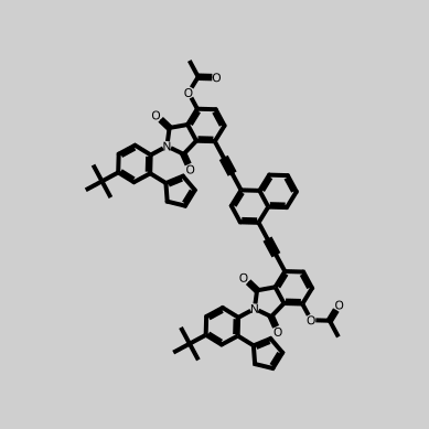 CC(=O)Oc1ccc(C#Cc2ccc(C#Cc3ccc(OC(C)=O)c4c3C(=O)N(c3ccc(C(C)(C)C)cc3C3=CC=CC3)C4=O)c3ccccc23)c2c1C(=O)N(c1ccc(C(C)(C)C)cc1C1=CC=CC1)C2=O